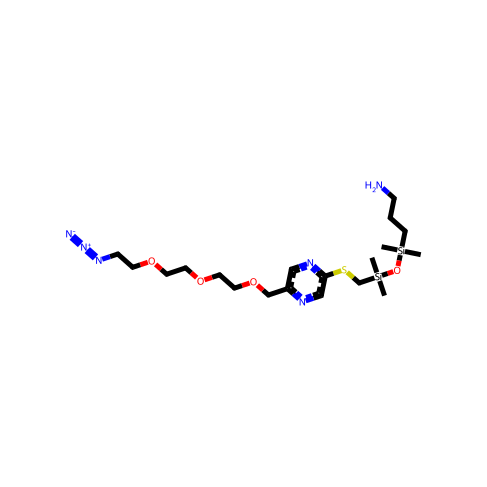 C[Si](C)(CCCN)O[Si](C)(C)CSc1cnc(COCCOCCOCCN=[N+]=[N-])cn1